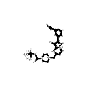 CC(C)(C)OC(=O)N1CCN(Cc2ccn3nc(-c4cccc(C#N)c4)c(I)c3n2)CC1